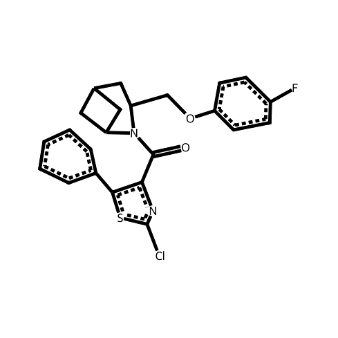 O=C(c1nc(Cl)sc1-c1ccccc1)N1C(COc2ccc(F)cc2)CC2CC1C2